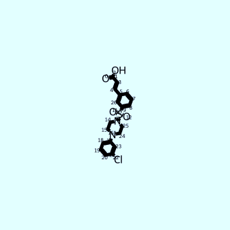 O=C(O)/C=C/c1cccc(S(=O)(=O)N2CCN(c3cccc(Cl)c3)CC2)c1